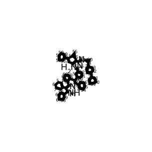 N=C(/C(C1=CCCC=C1)=C1\NC(c2ccccc2)=C(c2cccc(/C(N)=N/C(=N\C3CC3c3ccc(-c4ccccc4)cc3)C3=CCC(c4ccccc4)C4CC34)c2)c2ccccc21)c1ccccc1